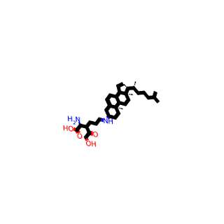 CC(C)CCC[C@@H](C)[C@H]1CCC2C3CC=C4CC(NCCCC(C(=O)CO)[C@H](N)C(=O)O)CC[C@]4(C)C3CC[C@@]21C